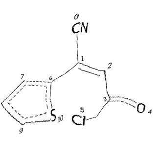 N#C/C(=C/C(=O)Cl)c1cccs1